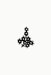 CC(C)(C)c1ccc2c(c1)C1(c3ccccc3-c3ccccc31)c1cccc(N(c3ccc(-c4ccccc4)cc3)c3ccc(-c4ccccc4)cc3)c1-2